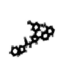 Cc1ncnc2ccc(-c3sc(NC(=O)N4CCC5(COCCN5)C4)nc3-c3cccc(C#N)c3)cc12